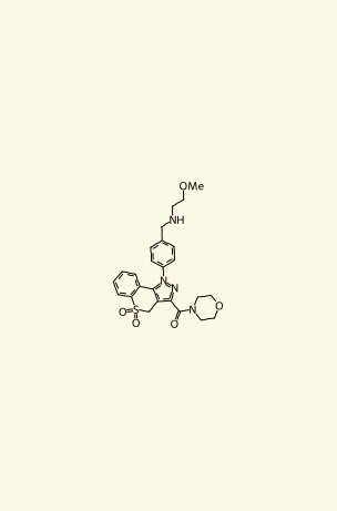 COCCNCc1ccc(-n2nc(C(=O)N3CCOCC3)c3c2-c2ccccc2S(=O)(=O)C3)cc1